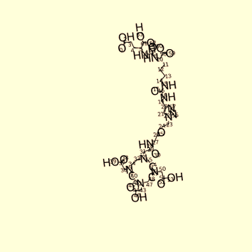 O=C(O)CC[C@H](NC(=O)N[C@@H](CCCCNC(=O)NCc1cn(CCOCCNC(=O)CN2CCN(CC(=O)O)CCN(CC(=O)O)CCN(CC(=O)O)CC2)nn1)C(=O)O)C(=O)O